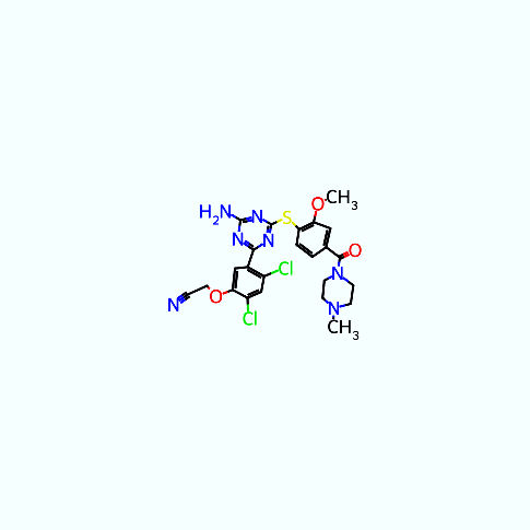 COc1cc(C(=O)N2CCN(C)CC2)ccc1Sc1nc(N)nc(-c2cc(OCC#N)c(Cl)cc2Cl)n1